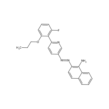 CCCOc1cccc(F)c1-c1ccc(N=Nc2ccc3ccccc3c2N)cn1